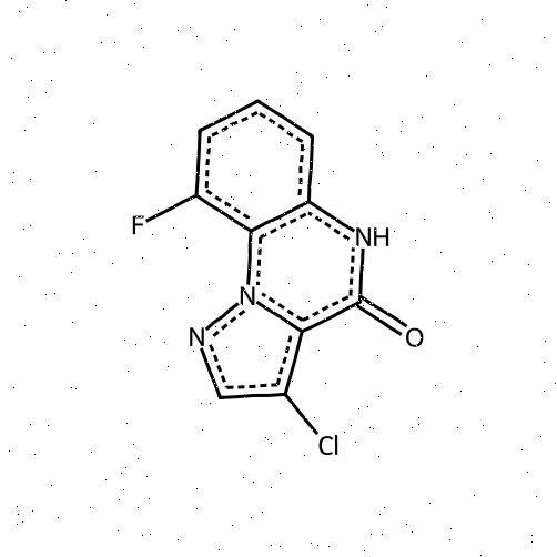 O=c1[nH]c2cccc(F)c2n2ncc(Cl)c12